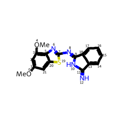 COc1cc(OC)c2nc(/N=C3\NC(=N)c4ccccc43)sc2c1